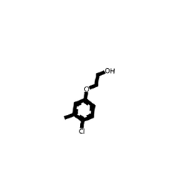 Cc1cc(OCCO)ccc1Cl